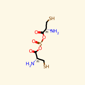 N[C@@H](CS)C(=O)OS(=O)OC(=O)[C@@H](N)CS